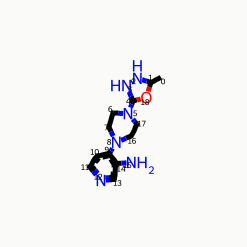 CC1NNC(N2CCN(c3ccncc3N)CC2)O1